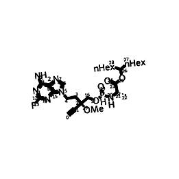 C#C[C@](CCn1cnc2c(N)nc(F)nc21)(CO[PH](=O)N[C@@H](C)C(=O)OC(CCCCCC)CCCCCC)OC